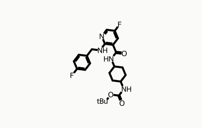 CC(C)(C)OC(=O)NC1CCC(NC(=O)c2cc(F)cnc2NCc2ccc(F)cc2)CC1